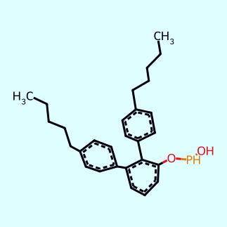 CCCCCc1ccc(-c2cccc(OPO)c2-c2ccc(CCCCC)cc2)cc1